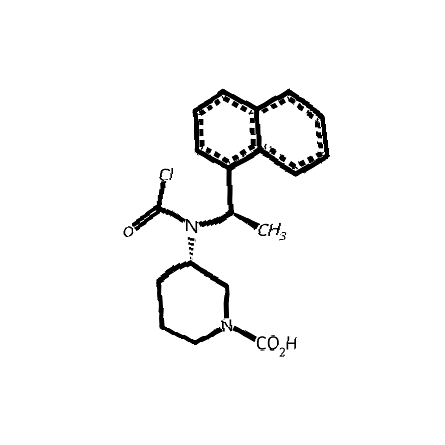 C[C@H](c1cccc2ccccc12)N(C(=O)Cl)[C@H]1CCCN(C(=O)O)C1